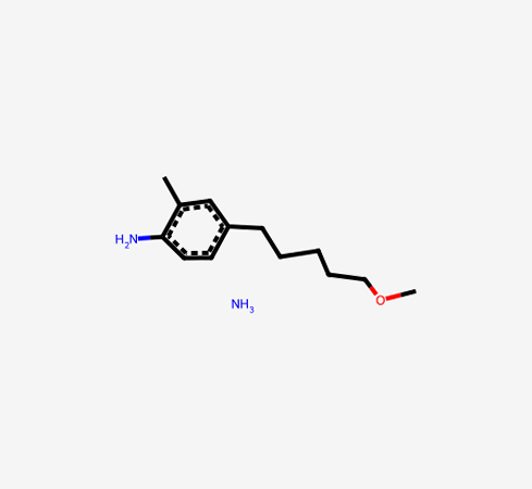 COCCCCCc1ccc(N)c(C)c1.N